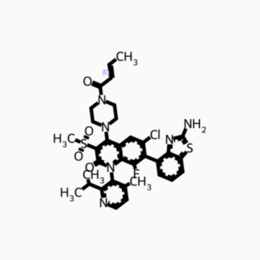 C/C=C/C(=O)N1CCN(c2c(S(C)(=O)=O)c(=O)n(-c3c(C)ccnc3C(C)C)c3c(F)c(-c4cccc5sc(N)nc45)c(Cl)cc23)CC1